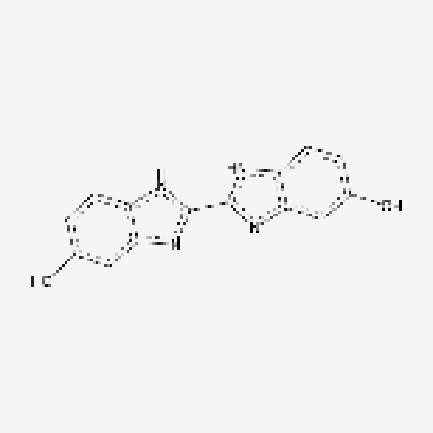 Oc1ccc2[nH]c(-c3nc4cc(O)ccc4[nH]3)nc2c1